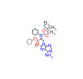 CC(C)(C)OC(=O)N(c1ccccc1)[C@@H](Cn1c(Br)nc2c(N)ncnc21)C(=O)OC1CCCC1